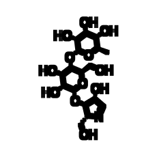 C[C@H]1O[C@H](O[C@H]2[C@H](O)[C@@H](O)[C@@H](O[C@H]3[C@H](O)C=N[C@@H]3CO)O[C@@H]2CO)[C@H](O)[C@@H](O)[C@@H]1O